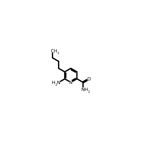 CCCCc1ccc(C(N)=O)nc1N